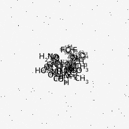 CCC(C)(CC(=O)O)CC(=O)NCC(=O)N[C@@H](C)C(=O)N[C@H](CC(=O)O)C(=O)N[C@@H](CC(N)=O)C(=O)NCCCN(C(=O)CO)[C@@H](c1cc(-c2cc(F)ccc2F)cn1Cc1ccccc1)C(C)(C)C